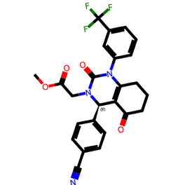 COC(=O)CN1C(=O)N(c2cccc(C(F)(F)F)c2)C2=C(C(=O)CCC2)[C@H]1c1ccc(C#N)cc1